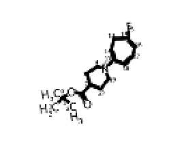 CC(C)(C)OC(=O)C1CCN(C2=CCC(F)=CC=C2)CC1